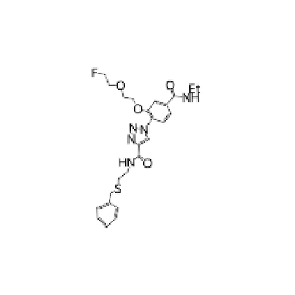 CCNC(=O)c1ccc(-n2cc(C(=O)NCCSCc3ccccc3)nn2)c(OCCOCCF)c1